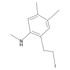 CNc1cc(C)c(C)cc1CCI